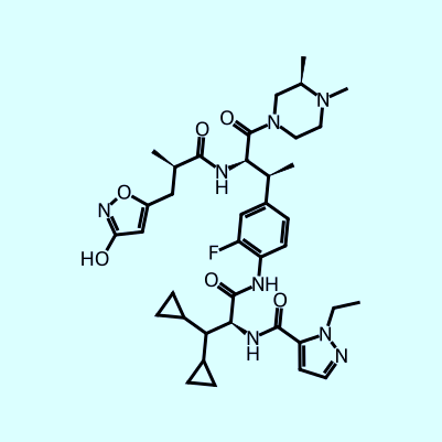 CCn1nccc1C(=O)N[C@H](C(=O)Nc1ccc([C@H](C)[C@@H](NC(=O)[C@H](C)Cc2cc(O)no2)C(=O)N2CCN(C)[C@H](C)C2)cc1F)C(C1CC1)C1CC1